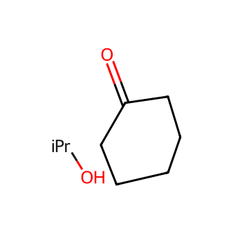 CC(C)O.O=C1CCCCC1